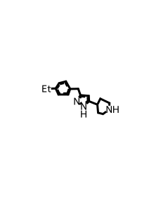 CCc1ccc(Cc2cc(C3CCNCC3)[nH]n2)cc1